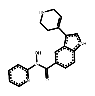 O=C(c1ccc2[nH]cc(C3=CCNCC3)c2c1)N(O)c1ccccn1